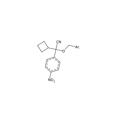 CC(=O)COC(C#N)(c1ccc([N+](=O)[O-])cc1)C1CCC1